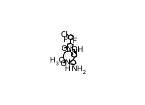 C[C@@H]1CCC[C@H](N2CCC(c3c(F)ccc(Cl)c3F)=CC2=O)c2cc(cc[n+]2O)-c2ccc(N)cc2NC1=O